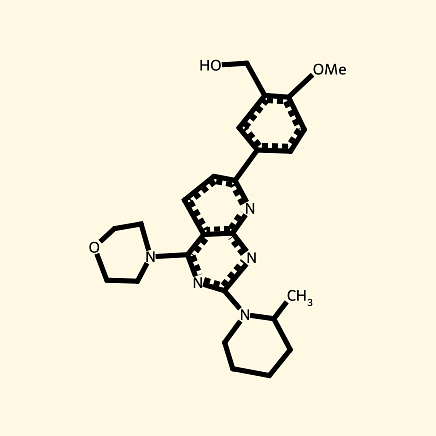 COc1ccc(-c2ccc3c(N4CCOCC4)nc(N4CCCCC4C)nc3n2)cc1CO